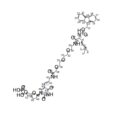 CC(C)(C)SSCC(NC(=O)OCC1c2ccccc2-c2ccccc21)C(=O)NCCOCCOCCOCC(=O)NC/C=C/c1cn([C@H]2CC[C@@H](COP(=O)(O)O)O2)c(=O)[nH]c1=O